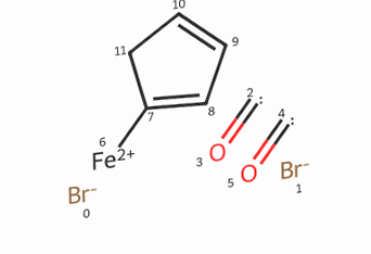 [Br-].[Br-].[C]=O.[C]=O.[Fe+2][C]1=CC=CC1